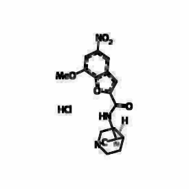 COc1cc([N+](=O)[O-])cc2cc(C(=O)N[C@@H]3CN4CCC3CC4)oc12.Cl